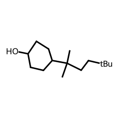 CC(C)(C)CCC(C)(C)C1CCC(O)CC1